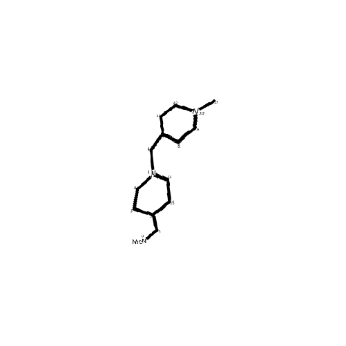 CNCC1CCN(CC2CCN(C)CC2)CC1